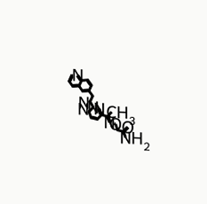 C/C(=N\OCC(N)=O)c1ccc2nnc(Cc3ccc4ncccc4c3)n2n1